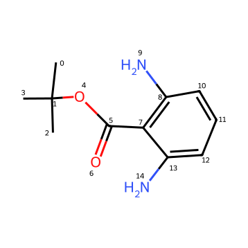 CC(C)(C)OC(=O)c1c(N)cccc1N